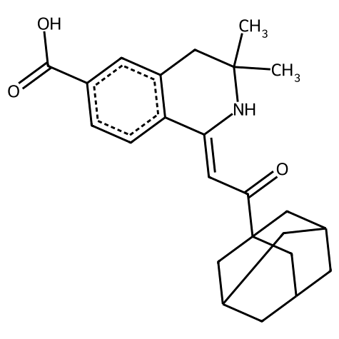 CC1(C)Cc2cc(C(=O)O)ccc2C(=CC(=O)C23CC4CC(CC(C4)C2)C3)N1